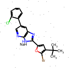 CC(C)(C)c1cc(-c2nc3cc(-c4ccccc4Cl)cnc3[nH]2)oc1Br.[NaH]